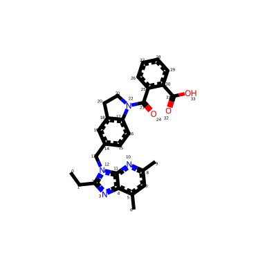 CCc1nc2c(C)cc(C)nc2n1Cc1ccc2c(c1)CCN2C(=O)c1ccccc1C(=O)O